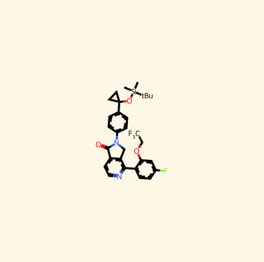 CC(C)(C)[Si](C)(C)OC1(c2ccc(N3Cc4c(ccnc4-c4ccc(F)cc4OCC(F)(F)F)C3=O)cc2)CC1